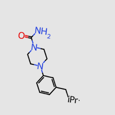 C[C](C)Cc1cccc(N2CCN(C(N)=O)CC2)c1